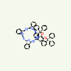 c1ccc([Si](Oc2ccc3c4nc5nc(nc6[nH]c(nc7nc(nc([nH]4)c3c2O[Si](c2ccccc2)(c2ccccc2)c2ccccc2)-c2ccccc2-7)c2ccccc62)-c2ccccc2-5)(c2ccccc2)c2ccccc2)cc1